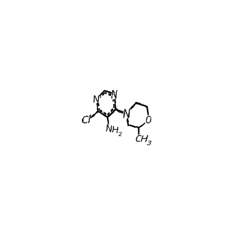 CC1CN(c2ncnc(Cl)c2N)CCO1